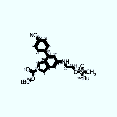 CC(C)(C)OC(=O)N1Cc2cc(NCCO[Si](C)(C)C(C)(C)C)cc(-c3ccc(C#N)cc3)c2C1